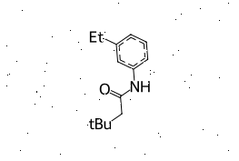 CCc1cccc(NC(=O)CC(C)(C)C)c1